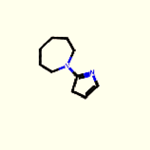 C1=CN=C(N2CCCCCC2)C1